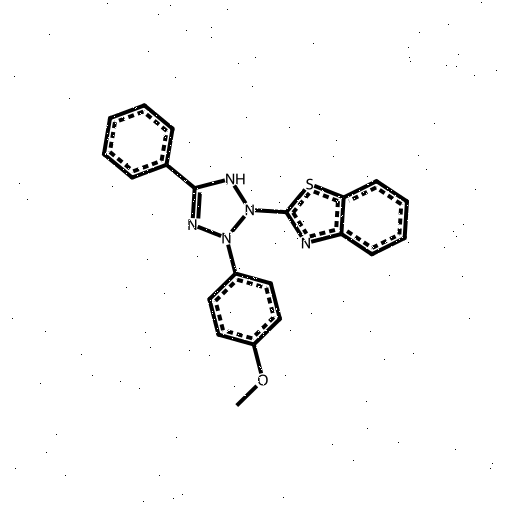 COc1ccc(N2N=C(c3ccccc3)NN2c2nc3ccccc3s2)cc1